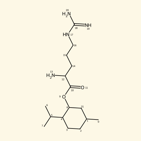 CC1CCC(C(C)C)C(OC(=O)C(N)CCCNC(=N)N)C1